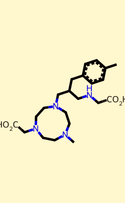 Cc1ccc(CC(CNCC(=O)O)CN2CCN(C)CCN(CC(=O)O)CC2)cc1